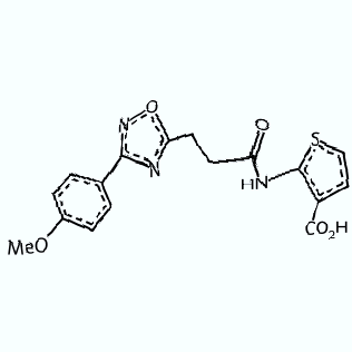 COc1ccc(-c2noc(CCC(=O)Nc3sccc3C(=O)O)n2)cc1